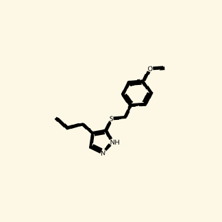 CCCc1cn[nH]c1SCc1ccc(OC)cc1